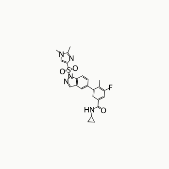 Cc1c(F)cc(C(=O)NC2CC2)cc1-c1ccc2c(cnn2S(=O)(=O)c2cn(C)c(C)n2)c1